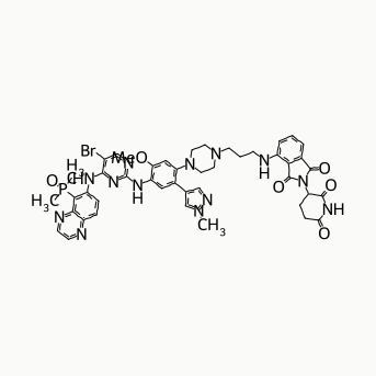 COc1cc(N2CCN(CCCNc3cccc4c3C(=O)N(C3CCC(=O)NC3=O)C4=O)CC2)c(-c2cnn(C)c2)cc1Nc1ncc(Br)c(Nc2ccc3nccnc3c2P(C)(C)=O)n1